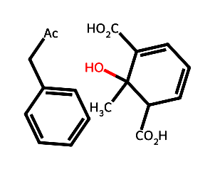 CC(=O)Cc1ccccc1.CC1(O)C(C(=O)O)=CC=CC1C(=O)O